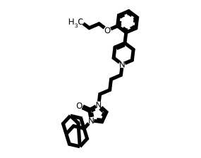 CCCOc1ccccc1C1=CCN(CCCCn2ccn(C34CC5CC(CC(C5)C3)C4)c2=O)CC1